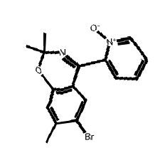 Cc1cc2c(cc1Br)C(c1cccc[n+]1[O-])=NC(C)(C)O2